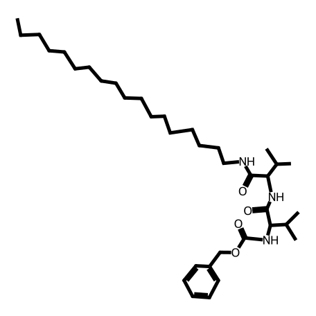 CCCCCCCCCCCCCCCCCCNC(=O)C(NC(=O)C(NC(=O)OCc1ccccc1)C(C)C)C(C)C